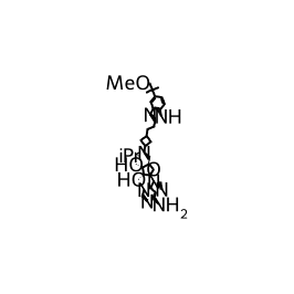 COCC(C)(C)c1ccc2[nH]c(CCC3CC(N(C[C@H]4O[C@@H](n5cnc6c(N)ncnc65)[C@H](O)[C@@H]4O)C(C)C)C3)nc2c1